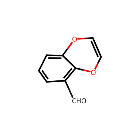 O=Cc1cccc2c1OC=CO2